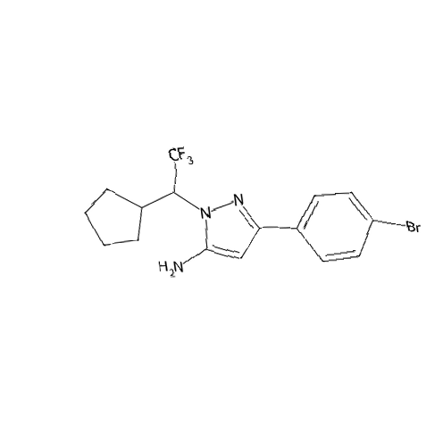 Nc1cc(-c2ccc(Br)cc2)nn1C(C1CCCC1)C(F)(F)F